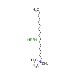 CCCCCCCCCCCCCCCC[N+](C)(C)C.F.F